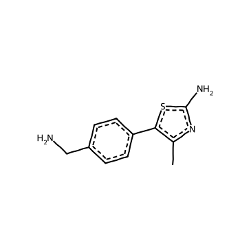 Cc1nc(N)sc1-c1ccc(CN)cc1